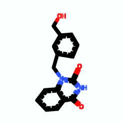 O=c1[nH]c(=O)n(Cc2cccc(CO)c2)c2ccccc12